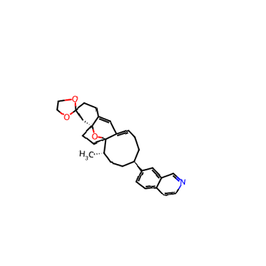 C[C@H]1CC[C@H](c2ccc3ccncc3c2)CC/C=C2/C=C3CCC4(C[C@]35CC[C@@]21O5)OCCO4